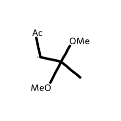 COC(C)([CH]C(C)=O)OC